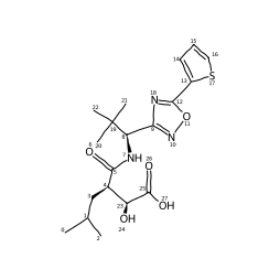 CC(C)C[C@@H](C(=O)N[C@H](c1noc(-c2cccs2)n1)C(C)(C)C)[C@H](O)C(=O)O